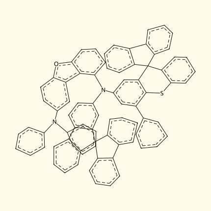 c1ccc(-c2cc(N(c3ccc4c(c3)C3(c5ccccc5-c5ccccc53)c3ccccc3-4)c3cccc4oc5ccc(N(c6ccccc6)c6ccccc6)cc5c34)cc3c2Sc2ccccc2C32c3ccccc3-c3ccccc32)cc1